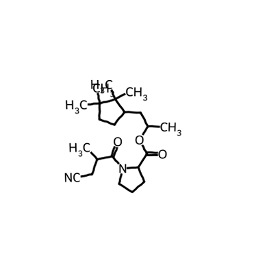 CC(CC1CCC(C)(C)C1(C)C)OC(=O)C1CCCN1C(=O)C(C)CC#N